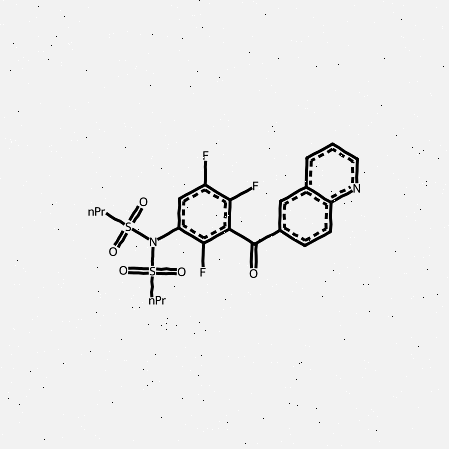 CCCS(=O)(=O)N(c1cc(F)c(F)c(C(=O)c2ccc3ncccc3c2)c1F)S(=O)(=O)CCC